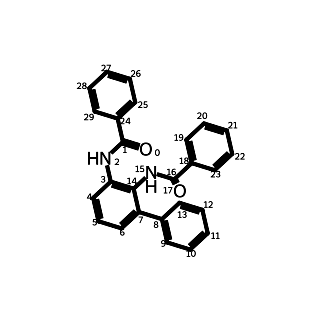 O=C(Nc1cccc(-c2ccccc2)c1NC(=O)c1ccccc1)c1ccccc1